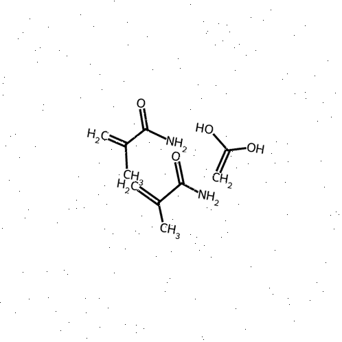 C=C(C)C(N)=O.C=C(C)C(N)=O.C=C(O)O